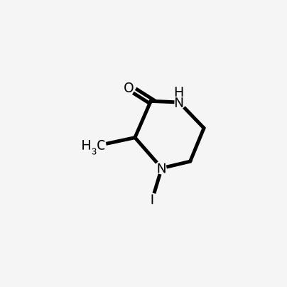 CC1C(=O)NCCN1I